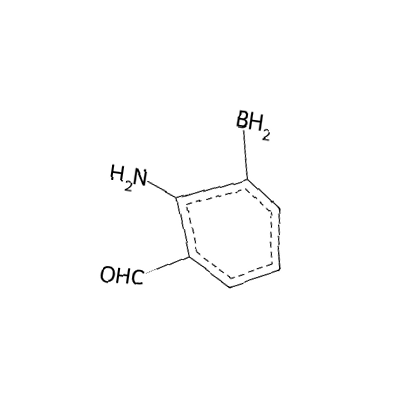 Bc1cccc(C=O)c1N